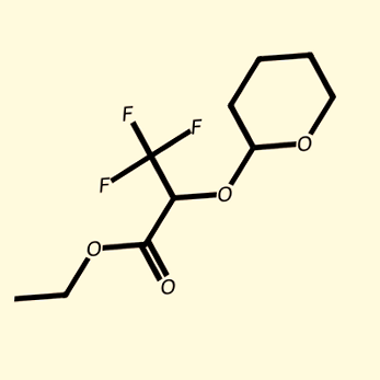 CCOC(=O)C(OC1CCCCO1)C(F)(F)F